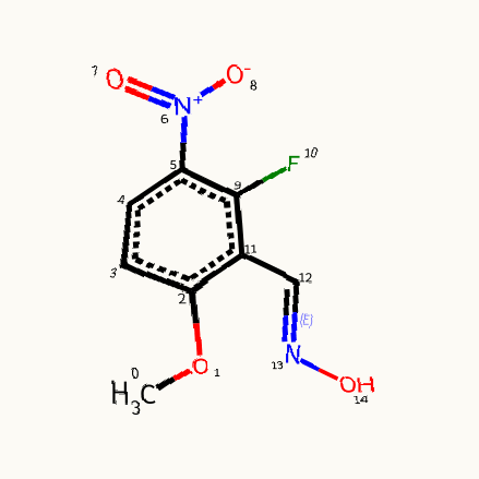 COc1ccc([N+](=O)[O-])c(F)c1/C=N/O